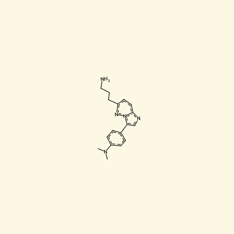 CN(C)c1ccc(-c2cnc3ccc(CCCN)nn23)cc1